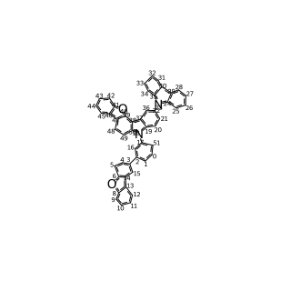 c1cc(-c2ccc3oc4ccccc4c3c2)cc(-n2c3ccc(-n4c5ccccc5c5ccccc54)cc3c3c4oc5ccccc5c4ccc32)c1